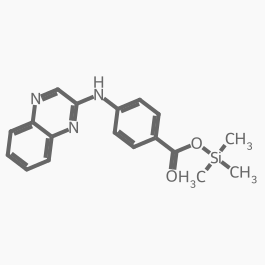 C[Si](C)(C)OC(=O)c1ccc(Nc2cnc3ccccc3n2)cc1